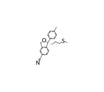 CSCCC[C@@]1(c2ccc(C)cc2)OCc2cc(C#N)ccc21